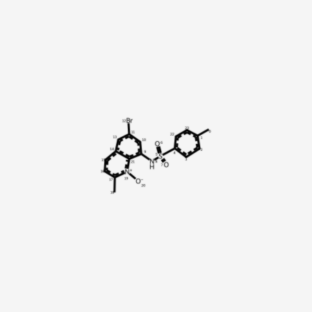 Cc1ccc(S(=O)(=O)Nc2cc(Br)cc3ccc(C)[n+]([O-])c23)cc1